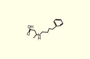 CC(CC(=O)O)NCCCCc1ccccc1